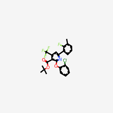 Cc1cccc(-c2cc(C(F)(F)F)c(C(=O)OC(C)(C)C)c(Oc3ccccc3Cl)n2)c1F